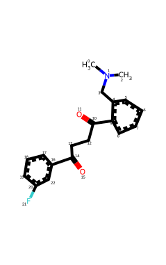 CN(C)Cc1ccccc1C(=O)CCC(=O)c1cccc(F)c1